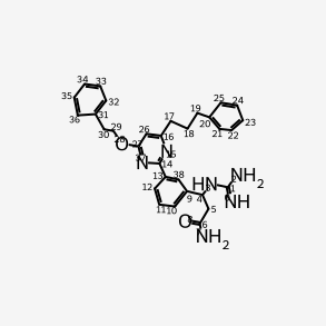 N=C(N)NC(CC(N)=O)c1cccc(-c2nc(CCCc3ccccc3)cc(OCCc3ccccc3)n2)c1